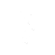 CCc1ccc2ccc(Nc3ccc4cc[nH]c4c3)nc2c1